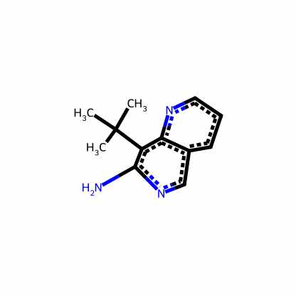 CC(C)(C)c1c(N)ncc2cccnc12